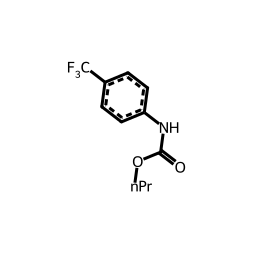 [CH2]CCOC(=O)Nc1ccc(C(F)(F)F)cc1